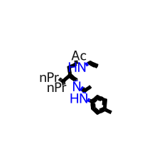 C=CNC(C/C(=C/N=C(\C)Nc1ccc(C)cc1)C(CCC)CCC)C(C)=O